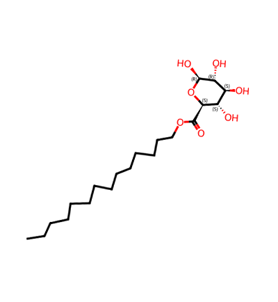 CCCCCCCCCCCCCCOC(=O)[C@H]1O[C@@H](O)[C@H](O)[C@@H](O)[C@@H]1O